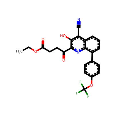 CCOC(=O)CCC(=O)c1nc2c(-c3ccc(OC(F)(F)F)cc3)cccc2c(C#N)c1O